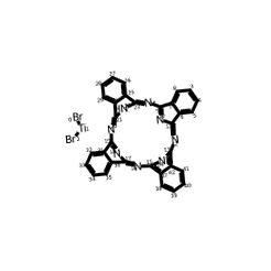 [Br][Ti][Br].c1ccc2c(c1)-c1nc-2nc2[nH]c(nc3nc(nc4[nH]c(n1)c1ccccc41)-c1ccccc1-3)c1ccccc21